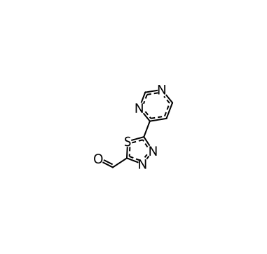 O=Cc1nnc(-c2ccncn2)s1